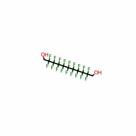 OCC(F)(F)C(F)(F)C(F)(F)C(F)(F)C(F)(F)C(F)(F)C(F)(F)C(F)(F)C(F)(F)CO